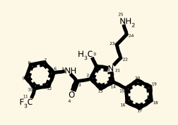 Cc1c(C(=O)Nc2cccc(C(F)(F)F)c2)cc(-c2ccccc2)n1CCCN